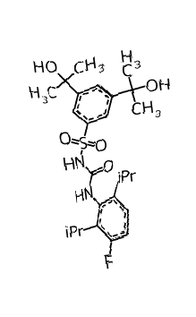 CC(C)c1ccc(F)c(C(C)C)c1NC(=O)NS(=O)(=O)c1cc(C(C)(C)O)cc(C(C)(C)O)c1